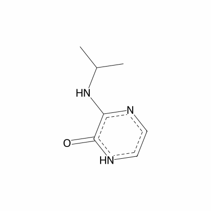 CC(C)Nc1ncc[nH]c1=O